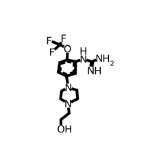 N=C(N)Nc1cc(N2CCN(CCO)CC2)ccc1OC(F)(F)F